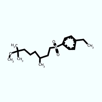 CCc1ccc(S(=O)(=O)CCC(C)CCCC(C)(C)OC)cc1